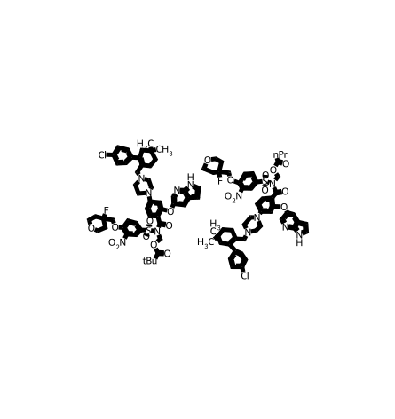 CC1(C)CCC(CN2CCN(c3ccc(C(=O)N(COC(=O)C(C)(C)C)S(=O)(=O)c4ccc(OCC5(F)CCOCC5)c([N+](=O)[O-])c4)c(Oc4cnc5[nH]ccc5c4)c3)CC2)=C(c2ccc(Cl)cc2)C1.CCCC(=O)OCN(C(=O)c1ccc(N2CCN(CC3=C(c4ccc(Cl)cc4)CC(C)(C)CC3)CC2)cc1Oc1cnc2[nH]ccc2c1)S(=O)(=O)c1ccc(OCC2(F)CCOCC2)c([N+](=O)[O-])c1